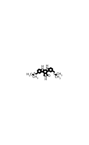 CC(C)SCc1ccc2[nH]c3c4[nH]c5ccc(CSC(C)C)cc5c4c4c(c3c2c1)CNC4=O